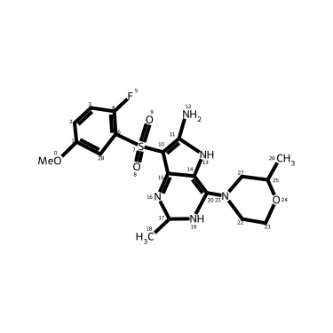 COc1ccc(F)c(S(=O)(=O)c2c(N)[nH]c3c2=NC(C)NC=3N2CCOC(C)C2)c1